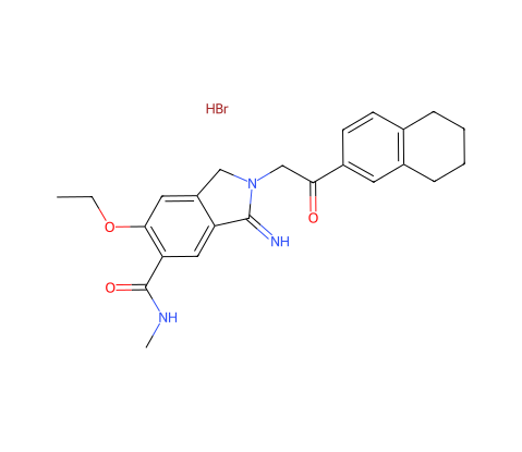 Br.CCOc1cc2c(cc1C(=O)NC)C(=N)N(CC(=O)c1ccc3c(c1)CCCC3)C2